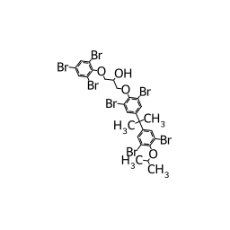 CC(C)Oc1c(Br)cc(C(C)(C)c2cc(Br)c(OCC(O)COc3c(Br)cc(Br)cc3Br)c(Br)c2)cc1Br